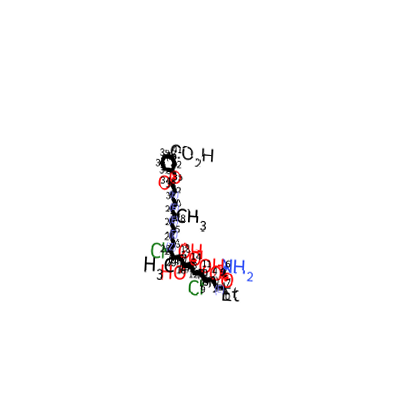 CC/C=C/[C@@H](OC(N)=O)[C@@H](Cl)[C@H](O)CC(=O)[C@@H](O)[C@H](O)[C@H](C)/C(Cl)=C/C=C/C=C(C)/C=C/C=C/C(=O)OC1CCC[C@H](C(=O)O)C1